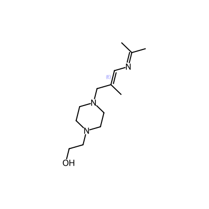 CC(C)=N/C=C(\C)CN1CCN(CCO)CC1